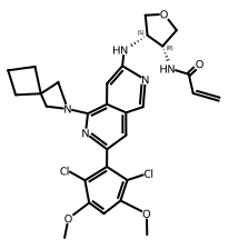 C=CC(=O)N[C@H]1COC[C@H]1Nc1cc2c(N3CC4(CCC4)C3)nc(-c3c(Cl)c(OC)cc(OC)c3Cl)cc2cn1